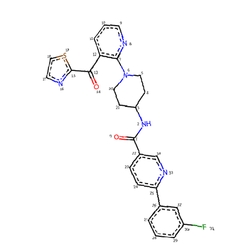 O=C(NC1CCN(c2ncccc2C(=O)c2nccs2)CC1)c1ccc(-c2cccc(F)c2)nc1